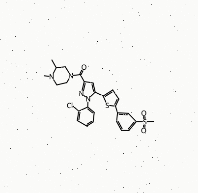 CC1CN(C(=O)c2cc(-c3ccc(-c4cccc(S(C)(=O)=O)c4)s3)n(-c3ccccc3Cl)n2)CCN1C